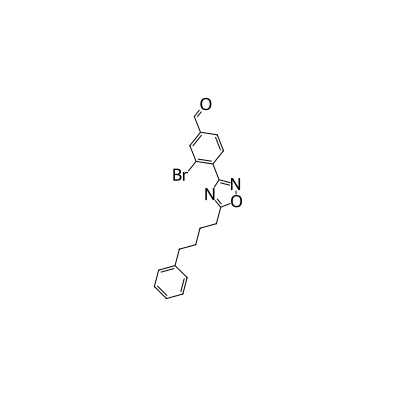 O=Cc1ccc(-c2noc(CCCCc3ccccc3)n2)c(Br)c1